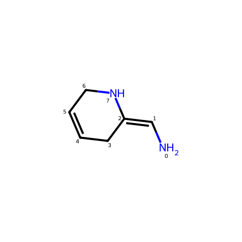 NC=C1CC=CCN1